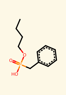 CCCCOP(=O)(O)Cc1ccccc1